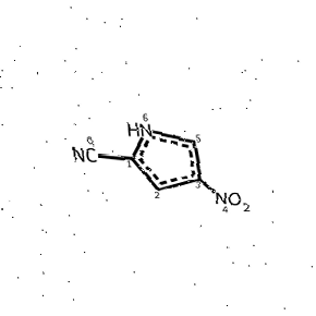 N#Cc1cc([N+](=O)[O-])c[nH]1